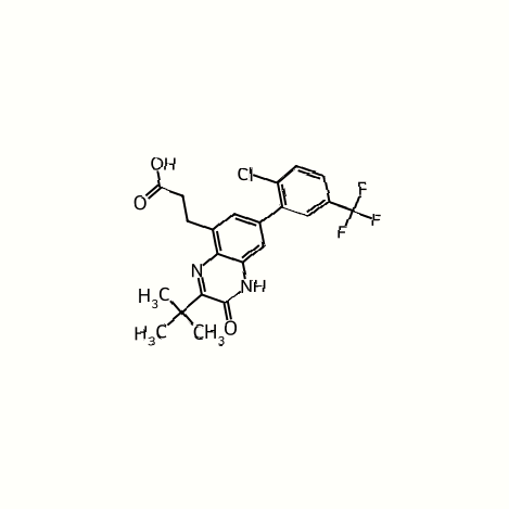 CC(C)(C)c1nc2c(CCC(=O)O)cc(-c3cc(C(F)(F)F)ccc3Cl)cc2[nH]c1=O